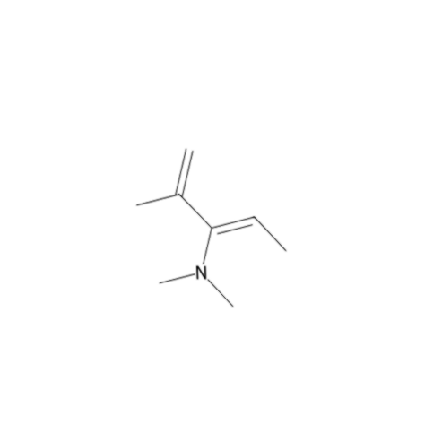 C=C(C)/C(=C/C)N(C)C